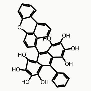 Oc1c(O)c(O)c2c(-c3ccc4c5c(cccc35)-c3ccccc3O4)c3c(O)c(O)c(O)c(O)c3c(-c3ccccc3)c2c1O